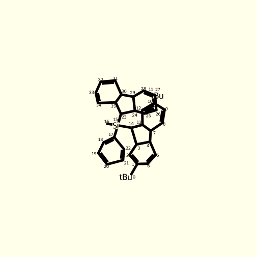 CC(C)(C)C1=CC2C(C=C1)C1C=CC(C(C)(C)C)=CC1C2[Si](C)(c1ccccc1)C1C2C=CC=CC2C2C=CC=CC21